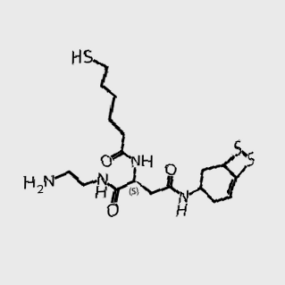 NCCNC(=O)[C@H](CC(=O)NC1CC=C2SSC2C1)NC(=O)CCCCCS